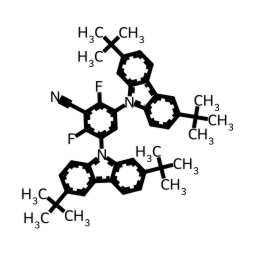 CC(C)(C)c1ccc2c(c1)c1ccc(C(C)(C)C)cc1n2-c1cc(-n2c3ccc(C(C)(C)C)cc3c3ccc(C(C)(C)C)cc32)c(F)c(C#N)c1F